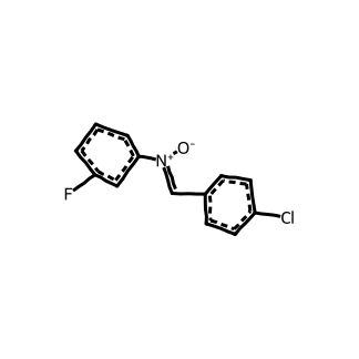 [O-][N+](=Cc1ccc(Cl)cc1)c1cccc(F)c1